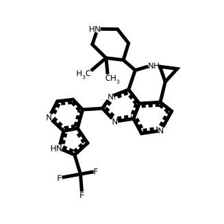 CC1(C)CNCCC1C(N)c1nc(-c2ccnc3[nH]c(C(F)(F)F)cc23)nc2cncc(C3CC3)c12